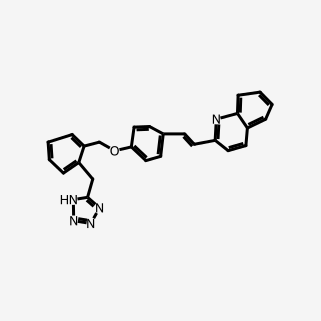 C(=Cc1ccc2ccccc2n1)c1ccc(OCc2ccccc2Cc2nnn[nH]2)cc1